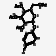 CC(=O)OC[C@H]1O[C@H](Oc2ccc(F)cc2)[C@H](OC(C)=O)[C@@H](OC(C)=O)[C@@H]1OC(C)=O